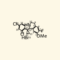 Br.COc1cc2c(cc1F)CCNC2C1(c2ccc(Cl)cc2Cl)CC1